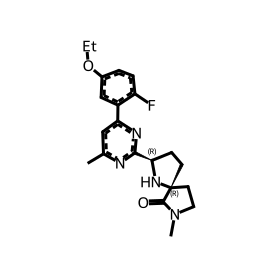 CCOc1ccc(F)c(-c2cc(C)nc([C@H]3CC[C@]4(CCN(C)C4=O)N3)n2)c1